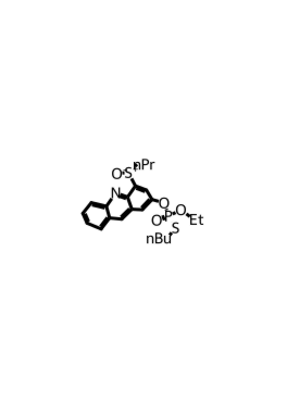 CCCCSP(=O)(OCC)Oc1cc([S+]([O-])CCC)c2nc3ccccc3cc2c1